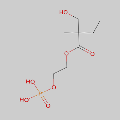 CCC(C)(CO)C(=O)OCCOP(=O)(O)O